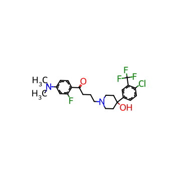 CN(C)c1ccc(C(=O)CCCN2CCC(O)(c3ccc(Cl)c(C(F)(F)F)c3)CC2)c(F)c1